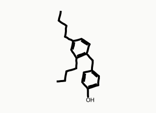 CCCCc1ccc(Cc2ccc(O)cc2)c(CCCC)c1